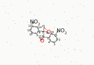 O=[N+]([O-])c1cccc(C2(C3(c4cccc([N+](=O)[O-])c4)CO3)CO2)c1